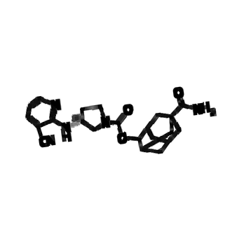 N#Cc1cccnc1N[C@@H]1CCN(C(=O)OC2C3CC4CC2CC(C(N)=O)(C4)C3)C1